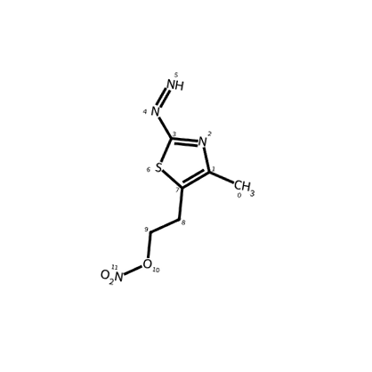 Cc1nc(N=N)sc1CCO[N+](=O)[O-]